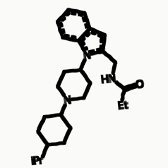 CCC(=O)NCc1cc2ccccc2n1C1CCN(C2CCC(C(C)C)CC2)CC1